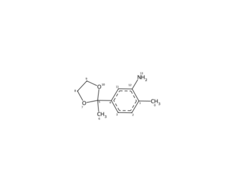 Cc1ccc(C2(C)OCCO2)cc1N